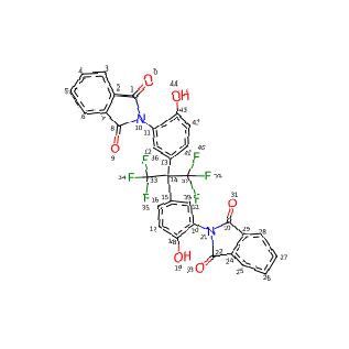 O=C1c2ccccc2C(=O)N1c1cc(C(c2ccc(O)c(N3C(=O)c4ccccc4C3=O)c2)(C(F)(F)F)C(F)(F)F)ccc1O